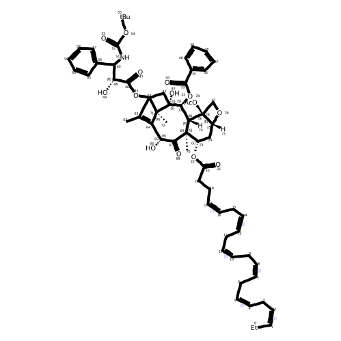 CC/C=C\C/C=C\C/C=C\C/C=C\C/C=C\C/C=C\CCC(=O)O[C@H]1C[C@H]2OC[C@@]2(OC(C)=O)[C@H]2[C@H](OC(=O)c3ccccc3)[C@]3(O)CC4(OC(=O)[C@H](O)C(NC(=O)OC(C)(C)C)c5ccccc5)C(C)=C([C@@H](O)C(=O)[C@]12C)[C@@]43C